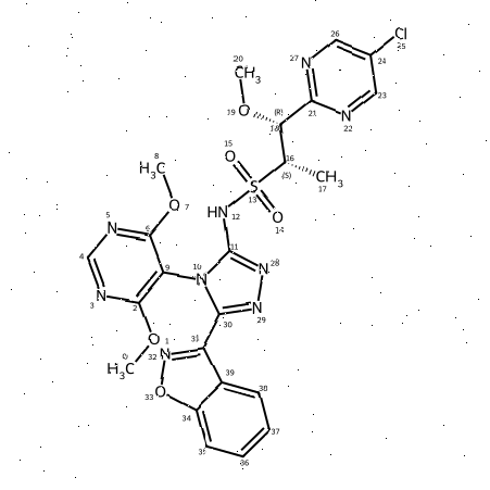 COc1ncnc(OC)c1-n1c(NS(=O)(=O)[C@@H](C)[C@H](OC)c2ncc(Cl)cn2)nnc1-c1noc2ccccc12